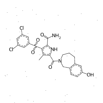 Cc1c(C(=O)N2CCCc3cc(O)ccc3C2)[nH]c(C(N)=O)c1S(=O)(=O)c1cc(Cl)cc(Cl)c1